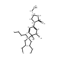 CCC[CH2][Sn]([CH2]CCC)([CH2]CCC)[C]1(F)C=CC(N2C[C@H](CO)OC2=O)=CC1F